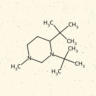 CN1CCC(C(C)(C)C)N(C(C)(C)C)C1